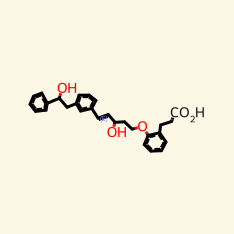 O=C(O)CCc1ccccc1OCCC(O)/C=C/c1cccc(CC(O)c2ccccc2)c1